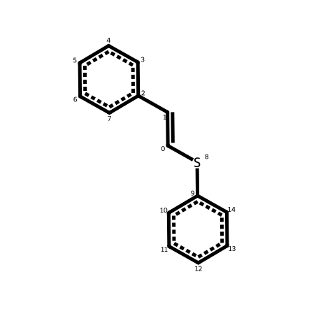 C(=C\c1ccccc1)/Sc1ccccc1